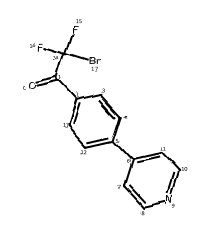 O=C(c1ccc(-c2ccncc2)cc1)C(F)(F)Br